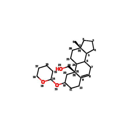 C[C@@]12CCCC1C1CC=C3CCC(OC4CCCCO4)C[C@]3(CO)C1CC2